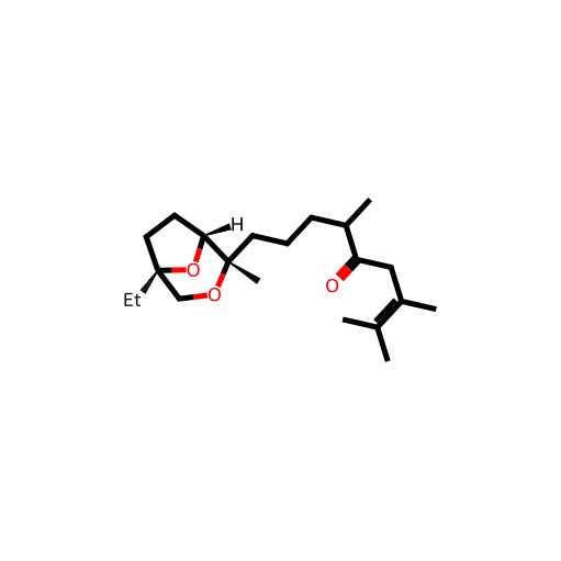 CC[C@@]12CC[C@@H](O1)[C@](C)(CCCC(C)C(=O)CC(C)=C(C)C)OC2